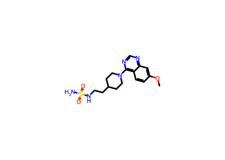 COc1ccc2c(N3CCC(CCNS(N)(=O)=O)CC3)ncnc2c1